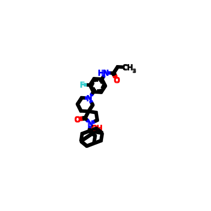 CCC(=O)Nc1ccc(N2CCCC3(CCN(C45CC6CC(C4)C(O)C(C6)C5)C3=O)C2)c(F)c1